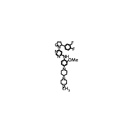 COc1cc(N2CCC(N3CCN(C)CC3)CC2)ccc1Nc1cc(N2OCCC2c2ccc(F)c(F)c2)ncn1